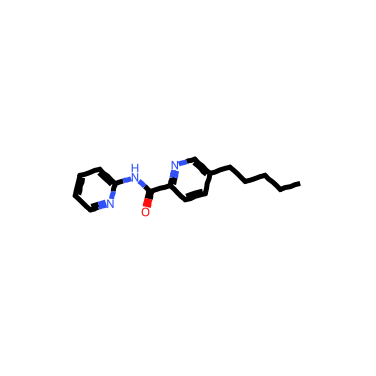 CCCCCc1ccc(C(=O)Nc2ccccn2)nc1